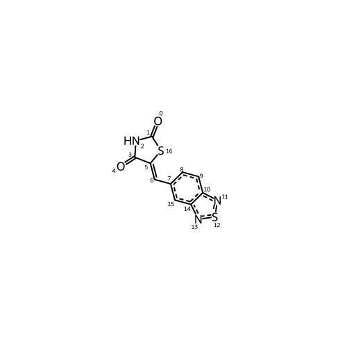 O=C1NC(=O)C(=Cc2ccc3nsnc3c2)S1